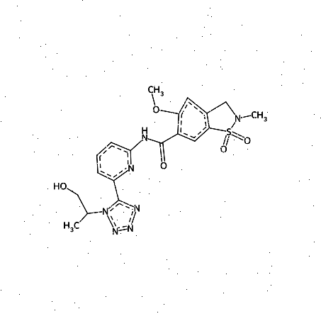 COc1cc2c(cc1C(=O)Nc1cccc(-c3nnnn3C(C)CO)n1)S(=O)(=O)N(C)C2